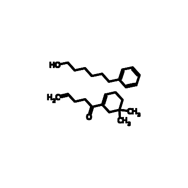 C=CCCC(=O)C1=CCCC(C)(C)C1.OCCCCCCc1ccccc1